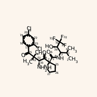 CC(C)C(NC(=O)[C@@]1(C(=O)[C@@H](N)C(C)(C)C(=O)c2ccc(Cl)cc2Cl)CCCN1)C(O)C(F)(F)F